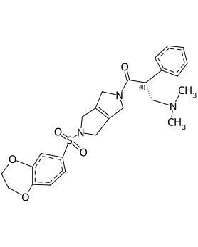 CN(C)C[C@H](C(=O)N1CC2=C(C1)CN(S(=O)(=O)c1ccc3c(c1)OCCO3)C2)c1ccccc1